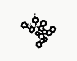 Fc1ccc(N(c2cc3c(c4ccccc24)-c2c(ccc4ccccc24)C32c3ccccc3-n3c4ccccc4c4cccc2c43)c2cccc3c2oc2ccccc23)cc1